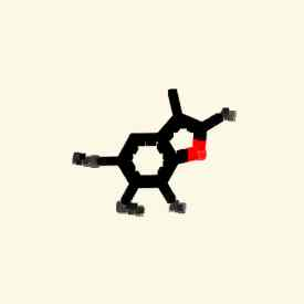 COc1cc2c(C)c(C(C)=O)oc2c(C(C)=O)c1OC